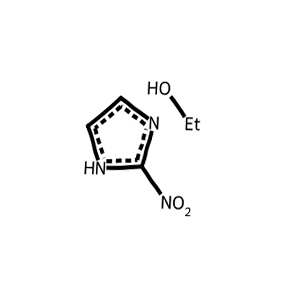 CCO.O=[N+]([O-])c1ncc[nH]1